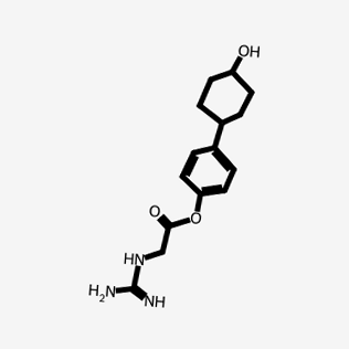 N=C(N)NCC(=O)Oc1ccc(C2CCC(O)CC2)cc1